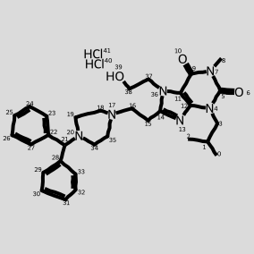 CC(C)Cn1c(=O)n(C)c(=O)c2c1nc(CCN1CCN(C(c3ccccc3)c3ccccc3)CC1)n2CCO.Cl.Cl